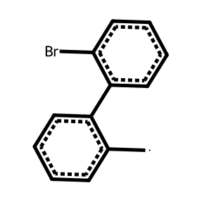 [CH2]c1ccccc1-c1ccccc1Br